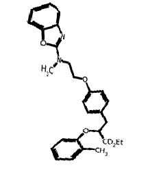 CCOC(=O)C(Cc1ccc(OCCN(C)c2nc3ccccc3o2)cc1)Oc1ccccc1C